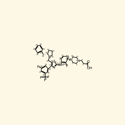 O=C(O)CCN1CCN(c2ncnc(Nc3nc(-c4cc(F)cc(C(F)(F)F)c4)c(CN4CCC[C@H]4Cc4ccccc4)s3)c2F)CC1